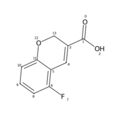 O=C(O)C1=Cc2c(F)cccc2OC1